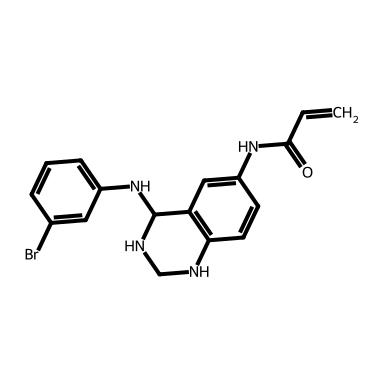 C=CC(=O)Nc1ccc2c(c1)C(Nc1cccc(Br)c1)NCN2